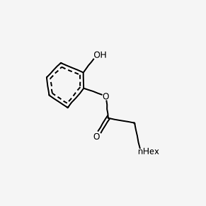 CCCCCCCC(=O)Oc1ccccc1O